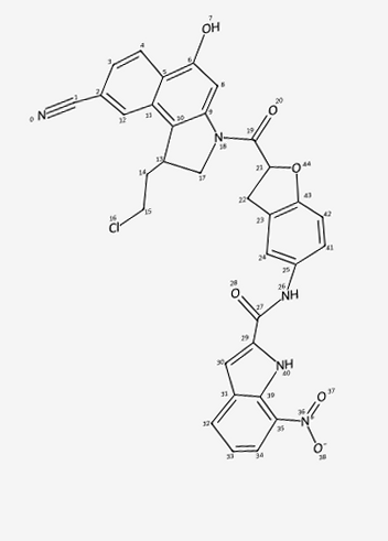 N#Cc1ccc2c(O)cc3c(c2c1)C(CCCl)CN3C(=O)C1Cc2cc(NC(=O)c3cc4cccc([N+](=O)[O-])c4[nH]3)ccc2O1